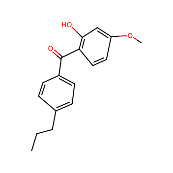 CCCc1ccc(C(=O)c2ccc(OC)cc2O)cc1